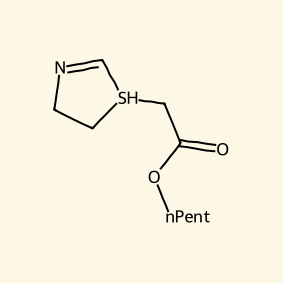 CCCCCOC(=O)C[SH]1C=NCC1